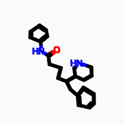 O=C(CCCC(Cc1ccccc1)C1CCCNC1)Nc1ccccc1